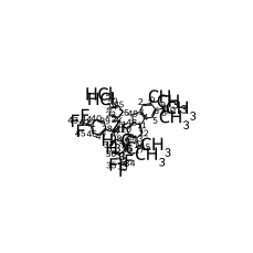 Cc1cc2c(cc1C(C)(C)C)-c1cc(C(C)(C)C)c(C)[c]([Zr]([C]3=CC=CC3)=[C](c3ccc(C(F)(F)F)cc3)c3ccc(C(F)(F)F)cc3)c1C2.Cl.Cl